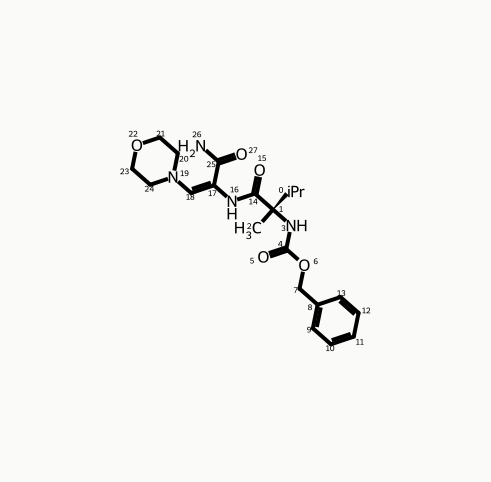 CC(C)[C@](C)(NC(=O)OCc1ccccc1)C(=O)NC(=CN1CCOCC1)C(N)=O